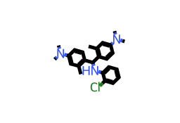 Cc1cc(N(C)C)ccc1C(Nc1ccccc1Cl)c1ccc(N(C)C)cc1C